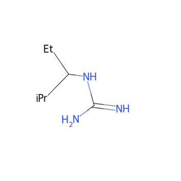 CCC(NC(=N)N)C(C)C